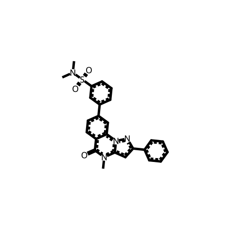 CN(C)S(=O)(=O)c1cccc(-c2ccc3c(=O)n(C)c4cc(-c5ccccc5)nn4c3c2)c1